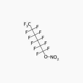 O=[N+]([O-])OC(F)(F)C(F)(F)C(F)(F)C(F)(F)C(F)(F)C(F)(F)F